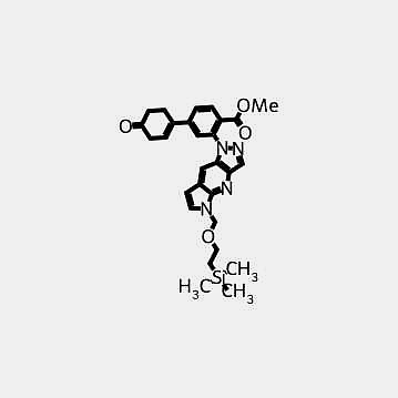 COC(=O)c1ccc(C2=CCC(=O)CC2)cc1-n1ncc2nc3c(ccn3COCC[Si](C)(C)C)cc21